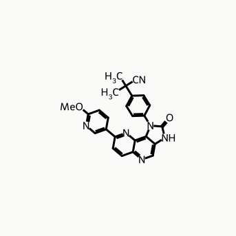 COc1ccc(-c2ccc3ncc4[nH]c(=O)n(-c5ccc(C(C)(C)C#N)cc5)c4c3n2)cn1